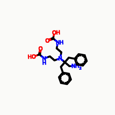 NCC(Cc1ccccc1)(Cc1ccccc1)N(CCNC(=O)O)CCNC(=O)O